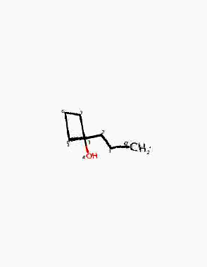 [CH2]CCC1(O)CCC1